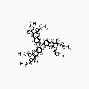 CCOC(=O)C(=Cc1ccc(N(c2ccc(C=C(C(=O)OCC)C(=O)OCC)cc2)c2ccc(C=C(C(=O)OCC)C(=O)OCC)cc2)cc1)C(=O)OCC